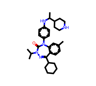 Cc1ccc2c(c1)N(c1ccc(NC(C)C3CCNCC3)cc1)C(=O)N(C(C)C)N=C2C1CCCCC1